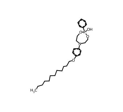 CCCCCCCCCCCCOc1ccc(N2CCO[P](O)(c3ccccc3)OCC2)cc1